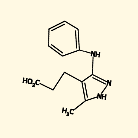 Cc1[nH]nc(Nc2ccccc2)c1CCC(=O)O